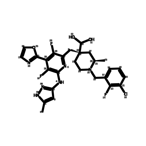 Cc1cc(Nc2nc(C[C@@]3(C(O)O)CCN(Cc4cccc(Cl)c4F)[C@H](C)C3)c(F)c(-c3ncco3)c2F)n[nH]1